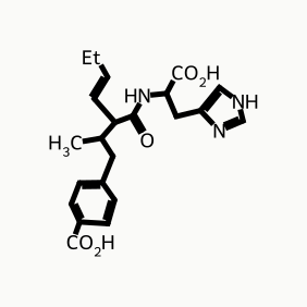 CC/C=C/C(C(=O)NC(Cc1c[nH]cn1)C(=O)O)C(C)Cc1ccc(C(=O)O)cc1